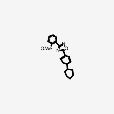 COc1ccccc1-c1noc(C2=CCC(C3CCCCC3)C=C2)n1